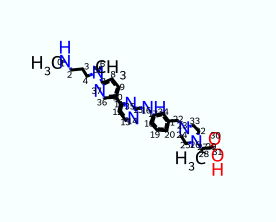 CNCCCN(C)c1ccc(-c2ccnc(Nc3cccc(CN4CCN(C(C)C(=O)O)CC4)c3)n2)cn1